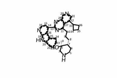 C[C@@]1(O)CNCC[C@H]1CCCc1nc(-c2ccnc3[nH]c4ccccc4c23)nc2cncc(C3CCC3)c12